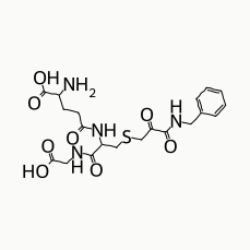 NC(CCC(=O)NC(CSCC(=O)C(=O)NCc1ccccc1)C(=O)NCC(=O)O)C(=O)O